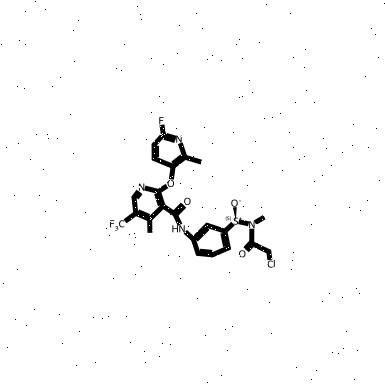 Cc1nc(F)ccc1Oc1ncc(C(F)(F)F)c(C)c1C(=O)Nc1cccc([S@@+]([O-])N(C)C(=O)CCl)c1